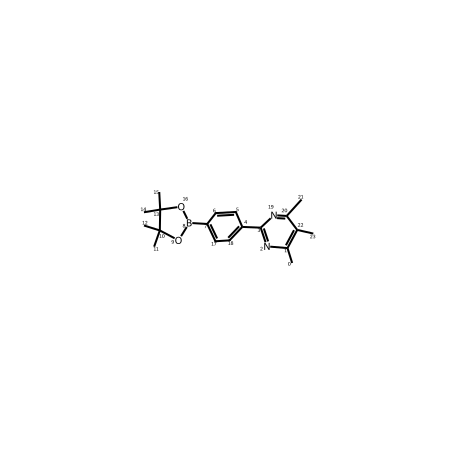 Cc1nc(-c2ccc(B3OC(C)(C)C(C)(C)O3)cc2)nc(C)c1C